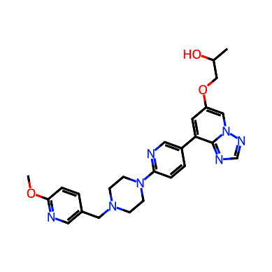 COc1ccc(CN2CCN(c3ccc(-c4cc(OCC(C)O)cn5ncnc45)cn3)CC2)cn1